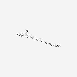 CCCCCCCCC=CCCCCCCCCOC(=O)C(=O)O